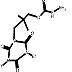 CCn1c(=O)n(CC)c(=O)n(CC(C)(C)COC(=O)BN)c1=O